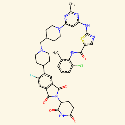 Cc1nc(Nc2ncc(C(=O)Nc3c(C)cccc3Cl)s2)cc(N2CCC(CN3CCC(c4cc5c(cc4F)C(=O)N(C4CCC(=O)NC4=O)C5=O)CC3)CC2)n1